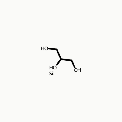 OCC(O)CO.[Si]